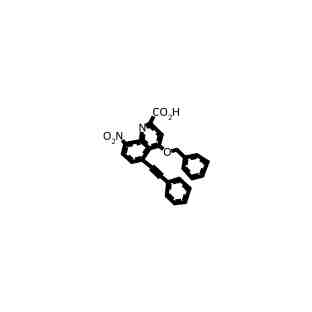 O=C(O)c1cc(OCc2ccccc2)c2c(C#Cc3ccccc3)ccc([N+](=O)[O-])c2n1